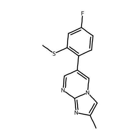 CSc1cc(F)ccc1-c1cnc2nc(C)cn2c1